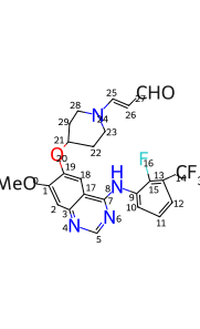 COc1cc2ncnc(Nc3cccc(C(F)(F)F)c3F)c2cc1OC1CCN(C=CC=O)CC1